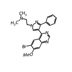 COc1cc2ncnc(-c3cn(CCN(C)C)nc3-c3ccccc3)c2cc1Br